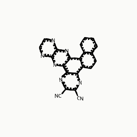 N#Cc1nc2c3ccc4ccccc4c3c3nc4nccnc4nc3c2nc1C#N